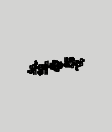 CC[C@H](C)[C@H](NC(=O)OC)C(=O)N1CCC[C@H]1c1ncc(-c2cc3c4c(c2)OCc2cc(-c5[nH]c([C@@H]6CCCN6C(=O)[C@@H](NC(=O)OC)[C@@H](C)CC)nc5Cl)cc(c2-4)OC3)[nH]1